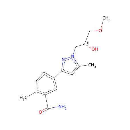 COC[C@H](O)Cn1nc(-c2ccc(C)c(C(N)=O)c2)cc1C